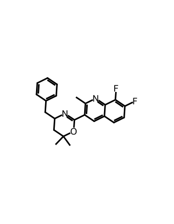 Cc1nc2c(F)c(F)ccc2cc1C1=NC(Cc2ccccc2)CC(C)(C)O1